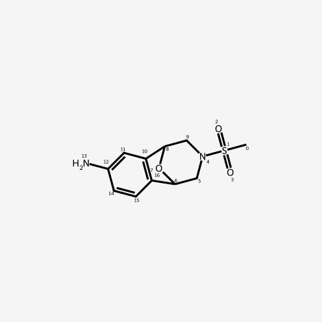 CS(=O)(=O)N1CC2OC(C1)c1cc(N)ccc12